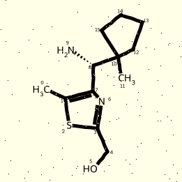 Cc1sc(CO)nc1[C@H](N)C1(C)CCCC1